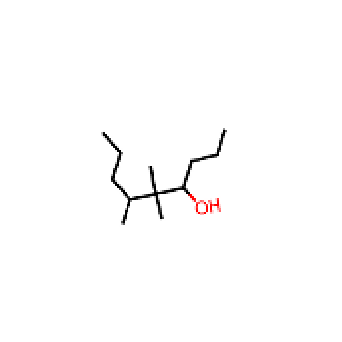 CCCC(C)C(C)(C)C(O)CCC